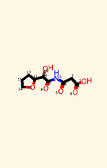 O=C(O)CC(=O)NC(=O)C(O)C1CCCO1